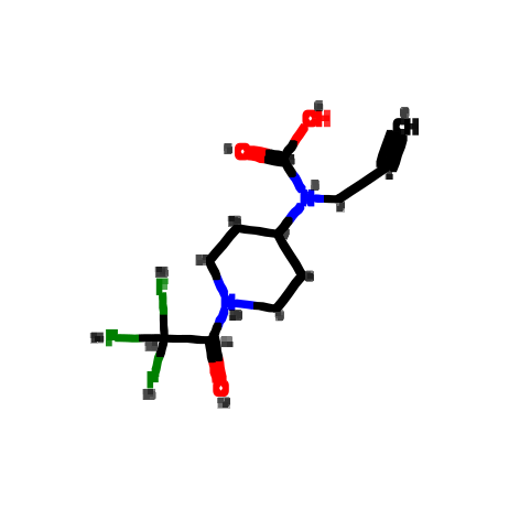 C#CCN(C(=O)O)C1CCN(C(=O)C(F)(F)F)CC1